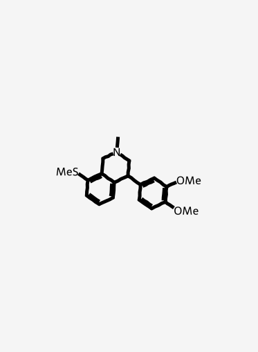 COc1ccc(C2CN(C)Cc3c(SC)cccc32)cc1OC